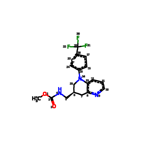 COC(=O)NC[C@@H]1Cc2ncccc2N(c2ccc(C(F)(F)F)cc2)C1